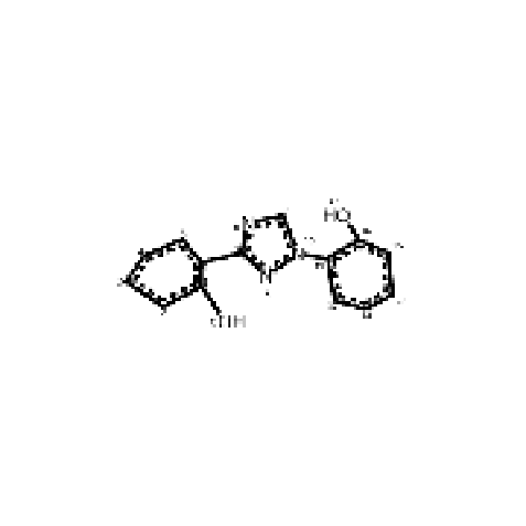 Oc1ccccc1-c1ncn(-c2ccccc2O)n1